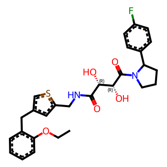 CCOc1ccccc1Cc1csc(CNC(=O)[C@H](O)[C@@H](O)C(=O)N2CCCC2c2ccc(F)cc2)c1